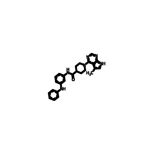 Cc1c[nH]c2ncnc(N3CCC(C(=O)Nc4cccc(Nc5ccccc5)c4)CC3)c12